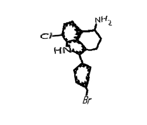 NC1CCc2c(-c3ccc(Br)cc3)[nH]c3c(Cl)ccc1c23